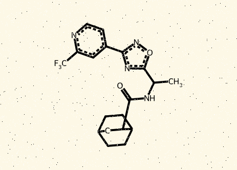 CC(NC(=O)C1CC2CCC1CC2)c1nc(-c2ccnc(C(F)(F)F)c2)no1